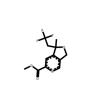 COC(=O)c1cc2c(cn1)COC2(C)CC(F)(F)F